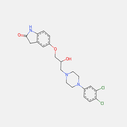 O=C1Cc2cc(OCC(O)CN3CCN(c4ccc(Cl)c(Cl)c4)CC3)ccc2N1